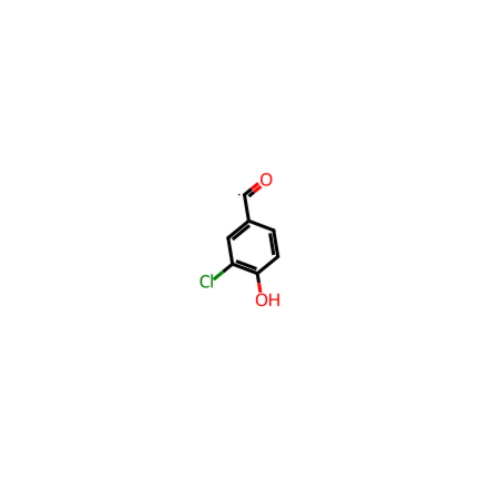 O=[C]c1ccc(O)c(Cl)c1